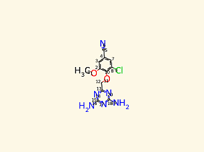 COc1cc(C#N)cc(Cl)c1OCc1nc(N)nc(N)n1